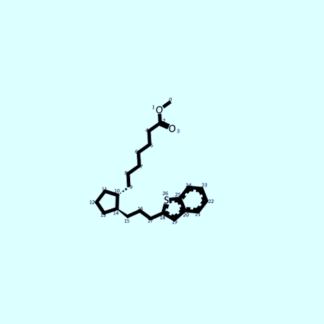 COC(=O)CCCCCC[C@H]1CCC[C@@H]1CCCc1cc2ccccc2s1